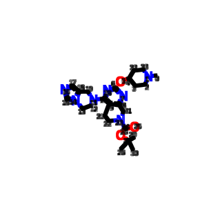 CN1CCC(Oc2nc3c(c(N4CCn5cncc5C4)n2)CCN(C(=O)OC(C)(C)C)C3)CC1